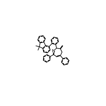 C=C1CC(c2ccccc2)=CC(c2ccccc2)=NC1c1ccccc1-c1cccc2c1-c1ccccc1C2(C)C